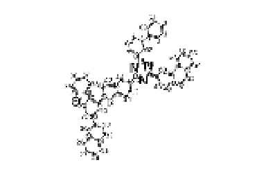 c1ccc(-c2cccc(-c3nc(-c4ccc5cc(-c6cc(-c7ccc8ccccc8c7)cc7oc8ccccc8c67)ccc5c4)nc(-c4ccc5ccc6ccccc6c5c4)n3)c2)cc1